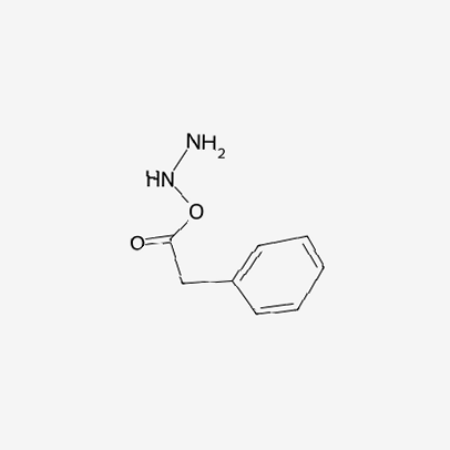 NNOC(=O)Cc1ccccc1